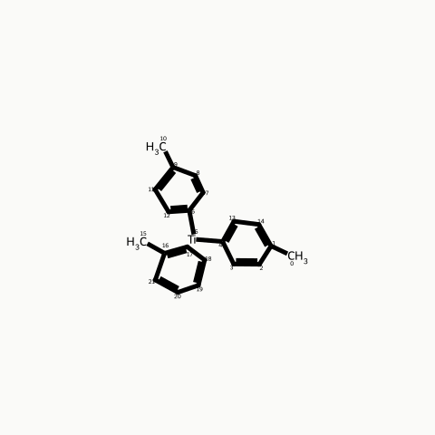 Cc1cc[c]([Ti][c]2ccc(C)cc2)cc1.Cc1ccccc1